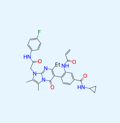 C=CC(=O)Nc1cc(C(=O)NC2CC2)ccc1-c1c(CC)nc2n(CC(=O)Nc3ccc(F)cc3)c(C)c(C)n2c1=O